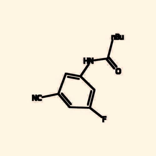 CCCCC(=O)Nc1cc(F)cc(C#N)c1